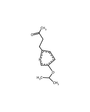 CC(=O)CCc1ccc(OC(C)C)cn1